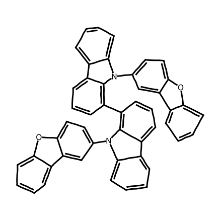 c1ccc2c(c1)oc1ccc(-n3c4ccccc4c4cccc(-c5cccc6c7ccccc7n(-c7ccc8oc9ccccc9c8c7)c56)c43)cc12